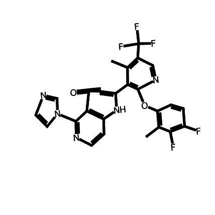 Cc1c(Oc2ncc(C(F)(F)F)c(C)c2-c2cc(=O)c3c(-n4ccnc4)nccc3[nH]2)ccc(F)c1F